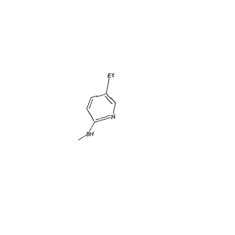 CBc1ccc(CC)cn1